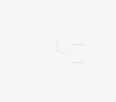 CCCC1C=CC2=C1CCCC2